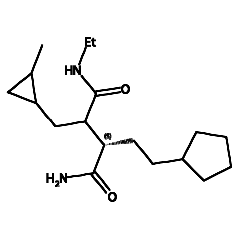 CCNC(=O)C(CC1CC1C)[C@H](CCC1CCCC1)C(N)=O